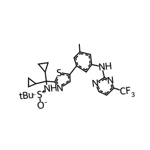 Cc1cc(Nc2nccc(C(F)(F)F)n2)cc(-c2cnc(C(N[S@+]([O-])C(C)(C)C)(C3CC3)C3CC3)s2)c1